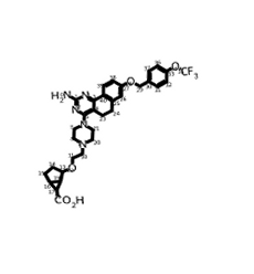 Nc1nc2c(c(N3CCN(CCOC4CCC5C(C(=O)O)C45)CC3)n1)CCc1cc(OCc3ccc(OC(F)(F)F)cc3)ccc1-2